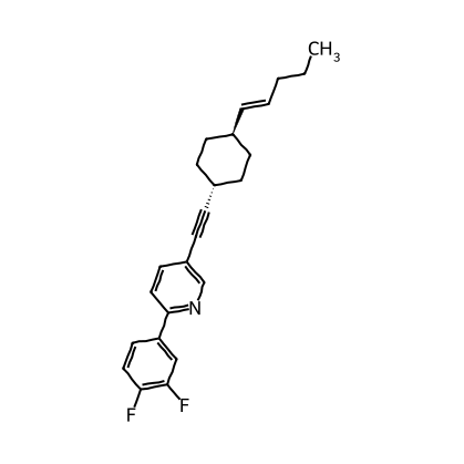 CCCC=C[C@H]1CC[C@H](C#Cc2ccc(-c3ccc(F)c(F)c3)nc2)CC1